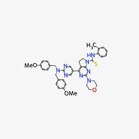 COc1ccc(CN(Cc2ccc(OC)cc2)c2ncc(-c3nc(N4CCOCC4)nc4c3CCN4C(=S)Nc3ccccc3C)cn2)cc1